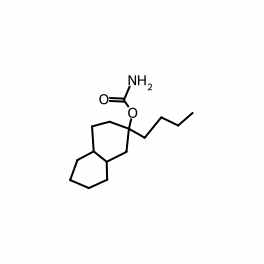 CCCCC1(OC(N)=O)CCC2CCCCC2C1